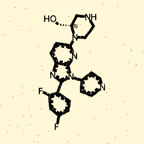 OC[C@@H]1CNCCN1c1ccc2nc(-c3ccc(F)cc3F)n(-c3ccncc3)c2n1